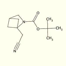 CC(C)(C)OC(=O)N1CC2CC1(CC#N)C2